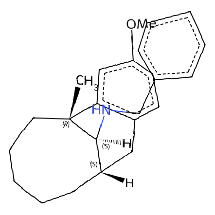 COc1ccc2c(c1)[C@@]1(C)CCCCC[C@@H](C2)[C@@H]1NCc1ccccc1